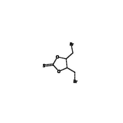 S=C1OC(CBr)C(CBr)O1